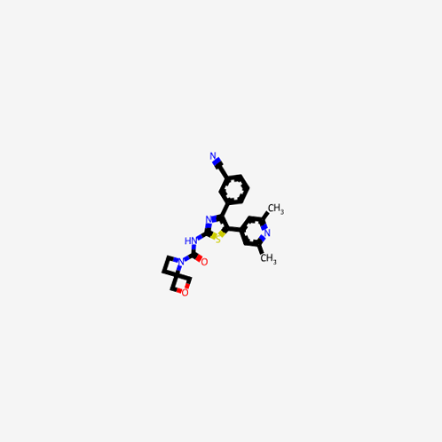 Cc1cc(-c2sc(NC(=O)N3CCC34COC4)nc2-c2cccc(C#N)c2)cc(C)n1